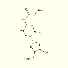 CCCCCCCCCOC(=O)NC1=NC(=O)N(C2CC(O)C(CO)O2)CN1